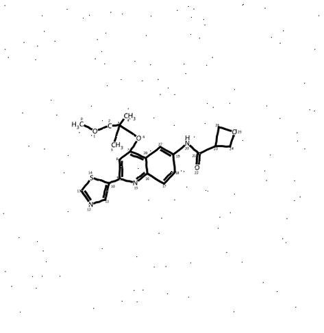 COCC(C)(C)Oc1cc(-c2cncs2)nc2ccc(NC(=O)C3COC3)cc12